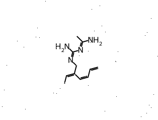 C=C/C=C\C(=C/C)C/N=C(N)\N=C(/C)N